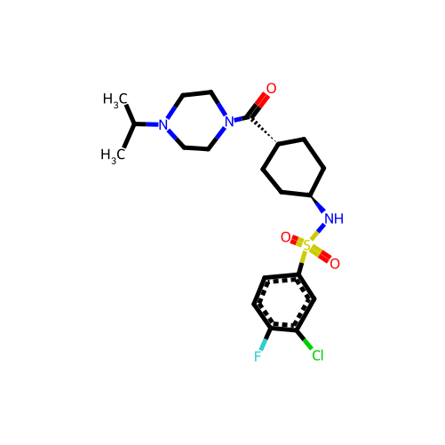 CC(C)N1CCN(C(=O)[C@H]2CC[C@H](NS(=O)(=O)c3ccc(F)c(Cl)c3)CC2)CC1